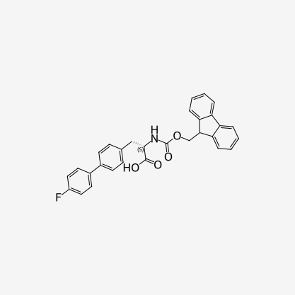 O=C(N[C@@H](Cc1ccc(-c2ccc(F)cc2)cc1)C(=O)O)OCC1c2ccccc2-c2ccccc21